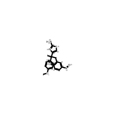 COc1ccc(C(C)(Cc2cc(N=O)ccc2OC)c2csc(N)n2)cc1